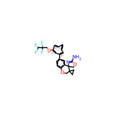 NC1=NC2(CO1)c1cc(C3=C/C=C/C=C/C(OCC(F)(F)C(F)F)=C\3)ccc1OCC21CC1